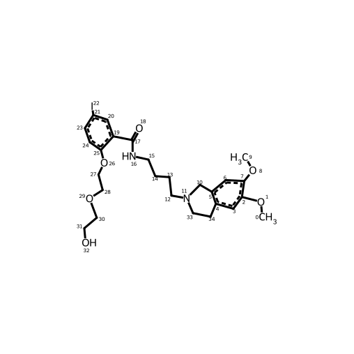 COc1cc2c(cc1OC)CN(CCCCNC(=O)c1cc(I)ccc1OCCOCCO)CC2